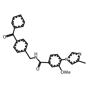 COc1cc(C(=O)NCc2ccc(C(=O)c3ccccc3)cc2)ccc1-n1cnc(C)c1